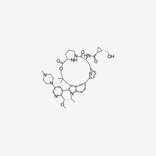 CCn1c(-c2cc(N3CCN(C)CC3)cnc2[C@H](C)OC)c2c3cc(ccc31)-c1csc(n1)C[C@H](NC(=O)[C@H]1C[C@@H]1CO)C(=O)N1CCC[C@@](C)(N1)C(=O)OCC(C)(C)C2